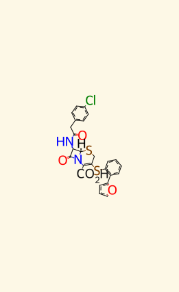 O=C(Cc1ccc(Cl)cc1)N[C@@H]1C(=O)N2C(C(=O)O)=C(Sc3ccccc3-c3ccco3)CS[C@@H]12